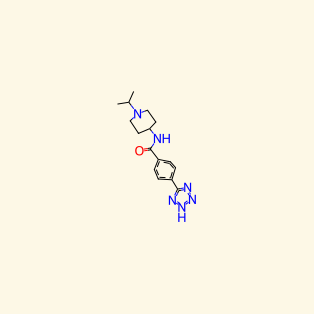 CC(C)N1CCC(NC(=O)c2ccc(-c3nn[nH]n3)cc2)CC1